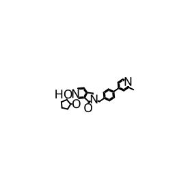 Cc1cc(-c2ccc(CN3Cc4ccnc(OC5CCCC5O)c4C3=O)cc2)ccn1